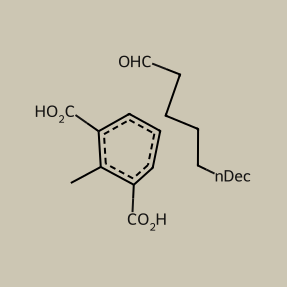 CCCCCCCCCCCCCCC=O.Cc1c(C(=O)O)cccc1C(=O)O